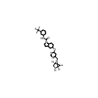 C[C@H]1[C@@H]2NC[C@H]3N(Cc4cc(Oc5ccc6c(ccn6C(=O)Nc6cccc(C(F)(F)F)c6)c5)ncn4)C123